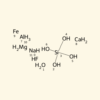 F.O.O[Si](O)(O)O.[AlH3].[CaH2].[Fe].[MgH2].[NaH]